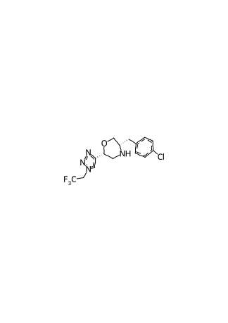 FC(F)(F)Cn1cc([C@H]2CN[C@@H](Cc3ccc(Cl)cc3)CO2)nn1